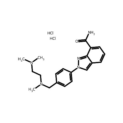 CN(C)CCN(C)Cc1ccc(-n2cc3cccc(C(N)=O)c3n2)cc1.Cl.Cl